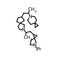 CC(C)N1CCC2(CC2CC(C)N2CCC3(CCC(CC(C)N4CCC5(CC4)CC5)C3)C2)C1